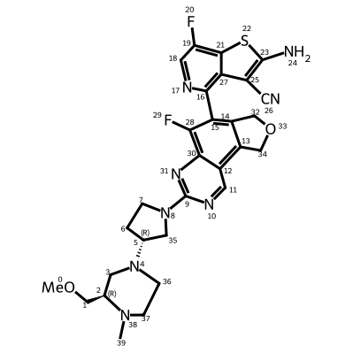 COC[C@H]1CN([C@@H]2CCN(c3ncc4c5c(c(-c6ncc(F)c7sc(N)c(C#N)c67)c(F)c4n3)COC5)C2)CCN1C